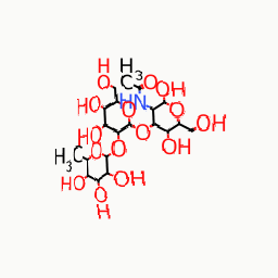 CC(=O)NC1C(O)OC(CO)C(O)C1OC1OC(CO)C(O)C(O)C1OC1OC(C)C(O)C(O)C1O